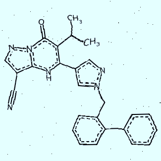 CC(C)c1c(-c2cnn(Cc3ccccc3-c3ccccc3)c2)[nH]c2c(C#N)cnn2c1=O